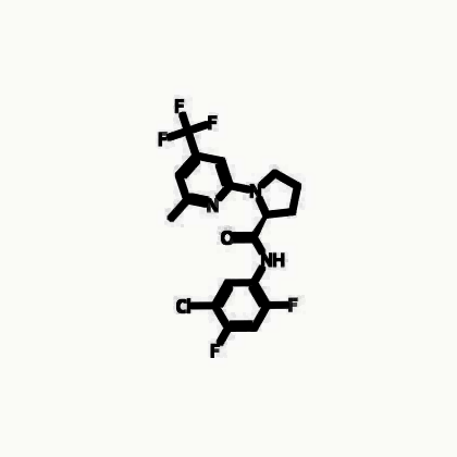 Cc1cc(C(F)(F)F)cc(N2CCC[C@H]2C(=O)Nc2cc(Cl)c(F)cc2F)n1